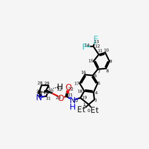 CCC1(CC)Cc2cc(-c3cccc(C(F)F)c3)ccc2C1NC(=O)O[C@H]1CN2CCC1CC2